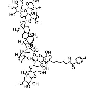 CC1O[C@@H](OC2C(O)[C@@H](NC(=O)CCCCCNC(=O)c3ccc(I)cc3)C(CO)O[C@H]2OC(=O)[C@@]2(CCC(C)(C)C)C(O)CC3(C)C(=CCC4C5(C)CC[C@H](O[C@@H]6OC(C(=O)O)[C@@H](O)C(O[C@@H]7OC[C@@H](O)C(O)C7O)C6O[C@@H]6OC(CO)[C@H](O)C(O)C6O)C(C)(C=O)C5CCC43C)C2I)C(CO)C(O)[C@H]1O[C@@H]1OC[C@@H](O)C(O)C1O